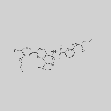 CCCCC(=O)Nc1cccc(S(=O)(=O)NC(=O)c2ccc(-c3ccc(Cl)c(OCCC)c3)nc2N2[C@H](C)CC[C@@H]2C)n1